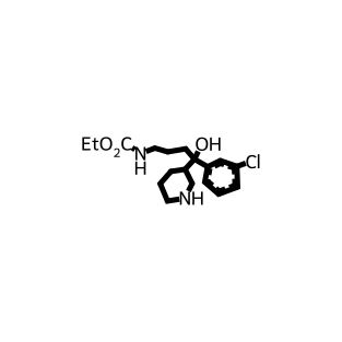 CCOC(=O)NCCCC(O)(c1cccc(Cl)c1)C1CCCNC1